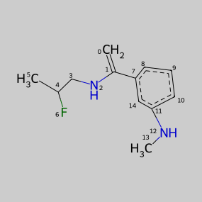 C=C(NCC(C)F)c1cccc(NC)c1